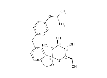 CC(C)Oc1ccc(Cc2ccc3c(c2)[C@]2(OC3)S[C@H](CO)[C@@H](O)[C@H](O)[C@H]2O)cc1